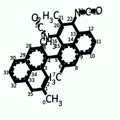 CC1=Cc2c(-c3c(C)cc4cccc5c4c3C(N=C=O)=C(C)C5N=C=O)c(C)cc3cccc(c23)C1